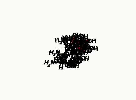 C[C@H](NC(=O)CNC(=O)[C@H](CC(=O)O)NC(=O)CNC(=O)[C@H](CC(=O)O)NC(=O)CNC(=O)[C@H](CC(=O)O)NC(=O)CNC(=O)[C@H](CC(=O)O)NC(=O)[C@H](CCC(=O)O)NC(=O)[C@H](CC(=O)O)NC(=O)[C@H](CC(=O)O)NC(=O)[C@H](CCC(=O)O)NC(=O)[C@H](CC(=O)O)NC(=O)[C@@H](N)CCCNC(=N)N)C(=O)N[C@H](C(=O)NCC(=O)N[C@@H](CCCCN)C(=O)N[C@@H](CCCCN)C(=O)N[C@@H](CCCCN)C(=O)O)[C@@H](C)O